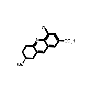 CC(C)(C)[C@H]1CCc2nc3c(Cl)cc(C(=O)O)cc3cc2C1